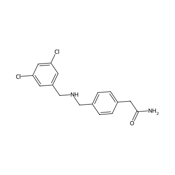 NC(=O)Cc1ccc(CNCc2cc(Cl)cc(Cl)c2)cc1